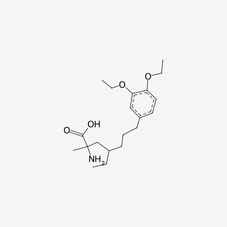 CCOc1ccc(CCCC(CC)CC(C)(N)C(=O)O)cc1OCC